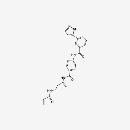 C=CC(=O)NCCC(=C)NC(=O)c1ccc(NC(=O)c2cccc(-c3ccn[nH]3)n2)cc1